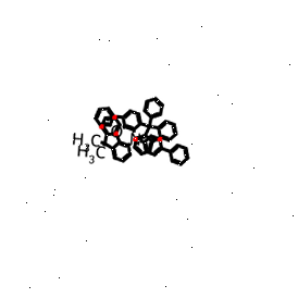 CC1(C)c2ccccc2-c2c(N(c3ccc(-c4ccccc4)cc3)c3c(C4(c5ccccc5)c5ccccc5-c5ccccc54)ccc4c3oc3ccccc34)cccc21